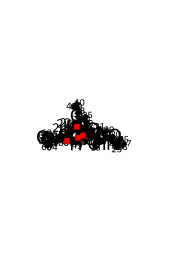 [2H]C1([2H])C([2H])([2H])[C@@]2(C(=O)N(S(=O)(=O)c3c(OC)cc(C(=O)NC(C)(CC)CC)c(C)c3C)c3cc(C)c(OCC(C)C)c(C)c32)C([2H])(C)C([2H])(C)[C@@]1(C)OC(C)(C)CN1CCOCC1(C)C